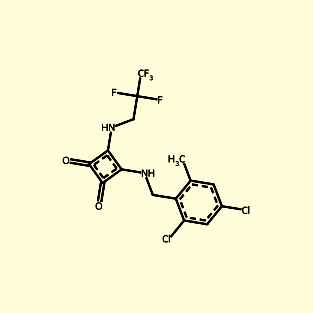 Cc1cc(Cl)cc(Cl)c1CNc1c(NCC(F)(F)C(F)(F)F)c(=O)c1=O